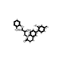 COc1ccccc1OCC(O)CN1C(=O)CCc2cc(-c3ccc(C)cc3F)ccc21